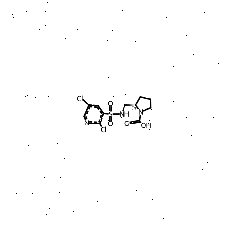 O=C(O)N1CCC[C@@H]1CNS(=O)(=O)c1cc(Cl)cnc1Cl